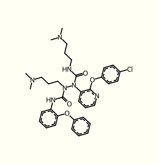 CN(C)CCCNC(=O)N(c1cccnc1Oc1ccc(Cl)cc1)N(CCCN(C)C)C(=O)Nc1ccccc1Oc1ccccc1